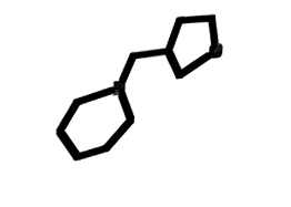 C1CCN(CC2CCOC2)CC1